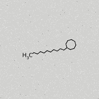 CCCCCCCCCCCC1CCCCCCC1